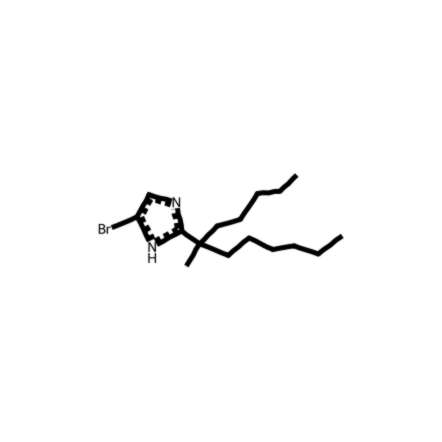 CCCCCCC(C)(CCCCC)c1ncc(Br)[nH]1